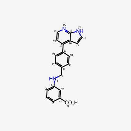 O=C(O)c1cccc(NCc2ccc(-c3ccnc4[nH]ccc34)cc2)c1